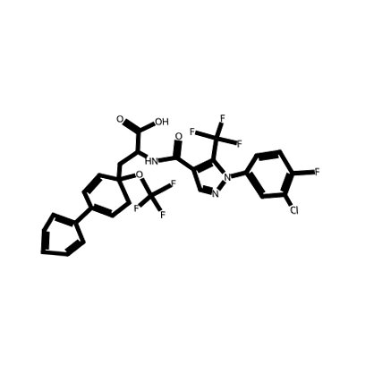 O=C(NC(CC1(OC(F)(F)F)C=CC(c2ccccc2)=CC1)C(=O)O)c1cnn(-c2ccc(F)c(Cl)c2)c1C(F)(F)F